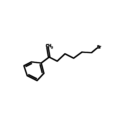 C=C(CCCCCBr)c1ccccc1